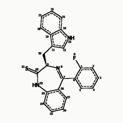 Fc1ccccc1C1=N[C@H](Cc2c[nH]c3ccccc23)C(=S)Nc2ccccc21